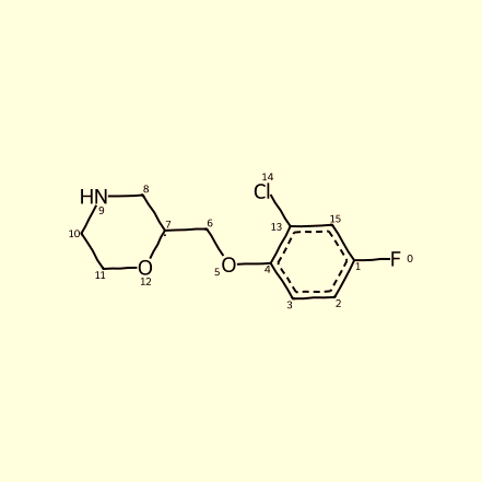 Fc1ccc(OC[C]2CNCCO2)c(Cl)c1